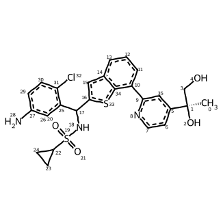 C[C@@](O)(CO)c1ccnc(-c2cccc3cc(C(NS(=O)(=O)C4CC4)c4cc(N)ccc4Cl)sc23)c1